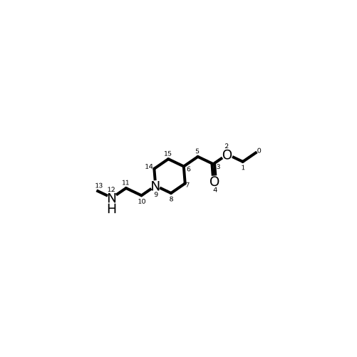 CCOC(=O)CC1CCN(CCNC)CC1